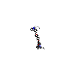 CCn1c2ccccc2c2cc(C=Cc3ccc(-c4ccc(C=Cc5ccc6c(c5)c5ccccc5n6CC)cc4)cc3)ccc21